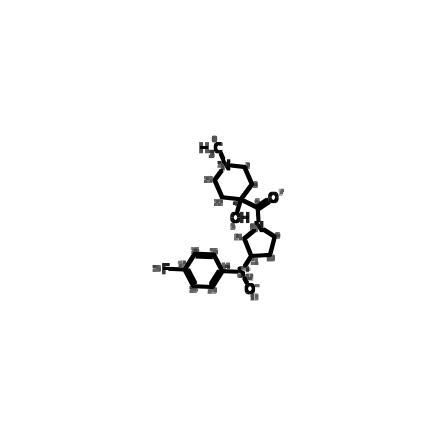 CN1CCC(O)(C(=O)N2CCC([S+]([O-])c3ccc(F)cc3)C2)CC1